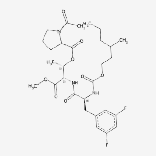 CCCC(C)CCOC(=O)N[C@@H](Cc1cc(F)cc(F)c1)C(=O)N[C@H](C(=O)OC)[C@H](C)OC(=O)C1CCCN1C(C)=O